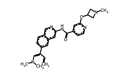 C=C/C(=C\N(C)C)c1ccc2cnc(NC(=O)c3ccnc(OC4CN(C)C4)c3)cc2c1